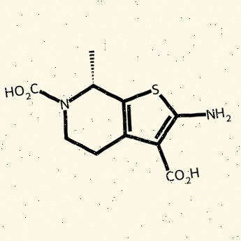 C[C@@H]1c2sc(N)c(C(=O)O)c2CCN1C(=O)O